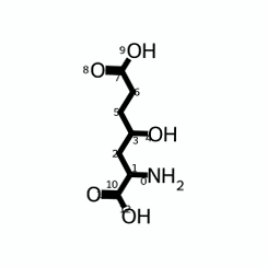 NC(CC(O)CCC(=O)O)C(=O)O